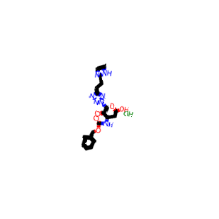 Cl.O=C(O)CC(NC(=O)OCc1ccccc1)C(=O)Cn1nnc(CCc2ncc[nH]2)n1